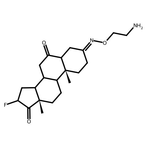 C[C@]12CCC(=NOCCN)CC1C(=O)CC1C2CC[C@]2(C)C(=O)C(F)CC12